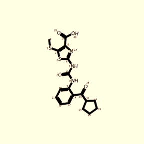 CSc1sc(NC(=O)Nc2ccccc2C(=O)C2CCCC2)nc1C(=O)O